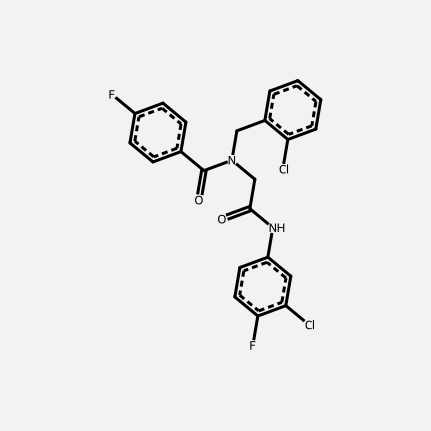 O=C(CN(Cc1ccccc1Cl)C(=O)c1ccc(F)cc1)Nc1ccc(F)c(Cl)c1